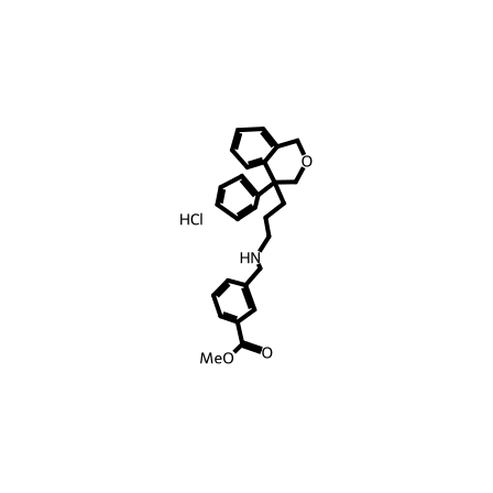 COC(=O)c1cccc(CNCCCC2(c3ccccc3)COCc3ccccc32)c1.Cl